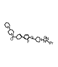 CC(C)c1noc(N2CCC(COc3ccc(C4=CCC(C(=O)N5CCC(N6CCCCC6)CC5)CC4)cc3F)CC2)n1